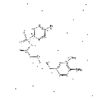 COc1ccc(COCCCC(C)OS(=O)(=O)c2ccc(Br)cc2)cc1OC